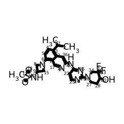 CC(C)c1ccc(N2CC(NS(C)(=O)=O)C2)c2cnc(Nc3ccnc(N4CCC(O)C(F)(F)C4)n3)cc12